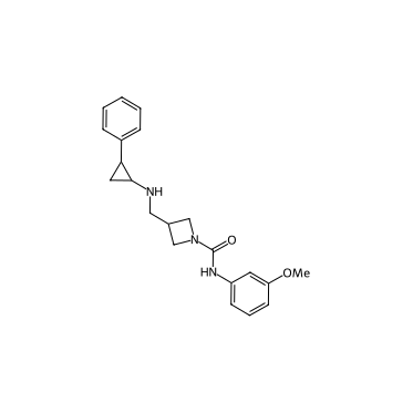 COc1cccc(NC(=O)N2CC(CNC3CC3c3ccccc3)C2)c1